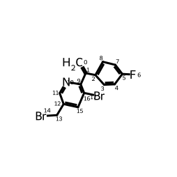 C=C(c1ccc(F)cc1)c1ncc(CBr)cc1Br